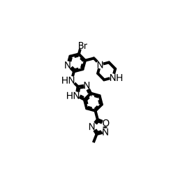 Cc1noc(-c2ccc3nc(Nc4cc(CN5CCNCC5)c(Br)cn4)[nH]c3c2)n1